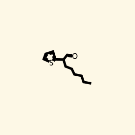 CCCCCCC(C=O)c1cccs1